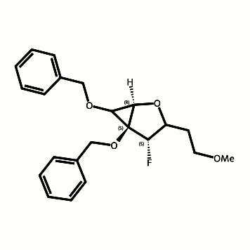 COCCC1O[C@@H]2C(OCc3ccccc3)[C@@]2(OCc2ccccc2)[C@H]1F